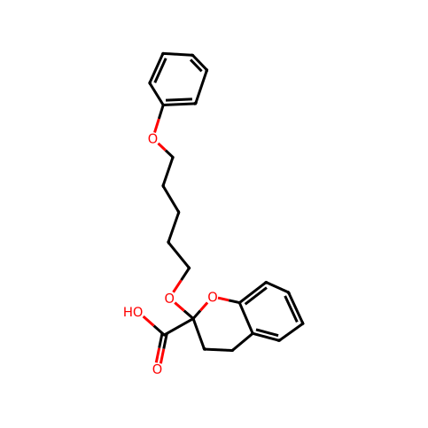 O=C(O)C1(OCCCCCOc2ccccc2)CCc2ccccc2O1